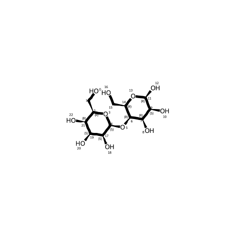 OC[C@H]1O[C@@H](O[C@@H]2[C@H](O)[C@H](O)[C@H](O)O[C@@H]2CO)[C@@H](O)[C@@H](O)[C@H]1O